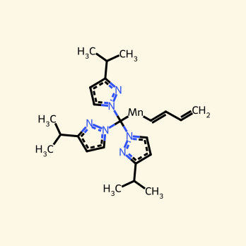 C=CC=[CH][Mn][C](n1ccc(C(C)C)n1)(n1ccc(C(C)C)n1)n1ccc(C(C)C)n1